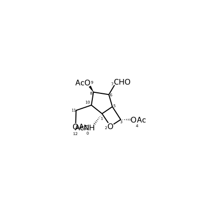 CC(=O)N[C@@]12O[C@@H](OC(C)=O)C1C(C=O)[C@H](OC(C)=O)C2COC(C)=O